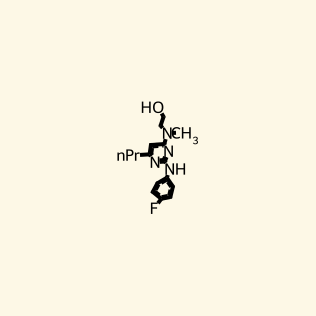 CCCc1cc(N(C)CCO)nc(Nc2ccc(F)cc2)n1